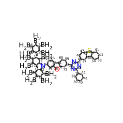 Bc1c(B)c(B)c(-c2c(B)c(B)c3c4c(B)c(B)c(B)c(B)c4n(-c4ccc5c(c4)oc4cc(-c6nc(-c7ccccc7)nc(-c7ccc8sc9ccccc9c8c7)n6)ccc45)c3c2B)c(B)c1B